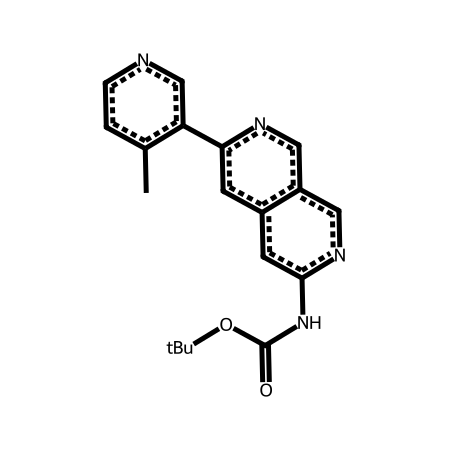 Cc1ccncc1-c1cc2cc(NC(=O)OC(C)(C)C)ncc2cn1